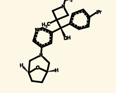 CC(C)c1ccc([C@](O)(c2cncc(N3C[C@H]4CC[C@@H](C3)O4)c2)C2(C)CN(C)C2)cc1